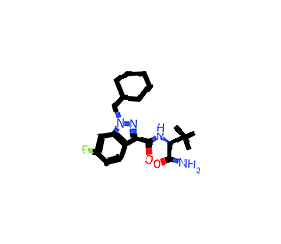 CC(C)(C)[C@H](NC(=O)c1nn(CC2CCCCC2)c2cc(F)ccc12)C(N)=O